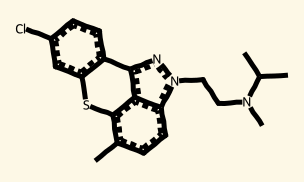 Cc1ccc2c3c(nn2CCN(C)C(C)C)-c2ccc(Cl)cc2Sc13